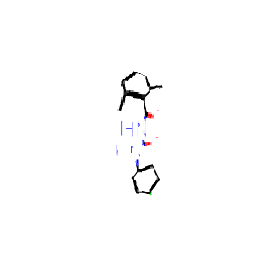 Cc1cccc(C)c1C(=O)NC(=O)Nc1ccc(Cl)cc1